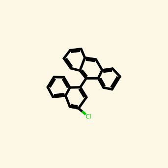 Clc1cc(-c2c3ccccc3cc3ccccc23)c2ccccc2c1